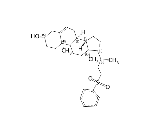 C[C@H](CCS(=O)(=O)c1ccccc1)[C@H]1CC[C@H]2[C@@H]3CC=C4C[C@@H](O)CC[C@]4(C)C3CC[C@]12C